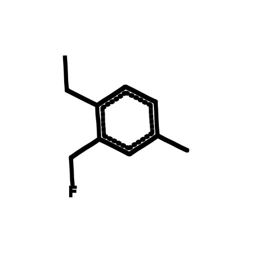 CCc1ccc(C)cc1CF